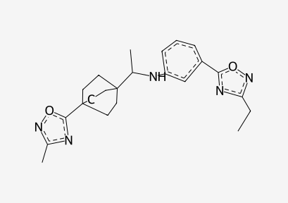 CCc1noc(-c2cccc(NC(C)C34CCC(c5nc(C)no5)(CC3)CC4)c2)n1